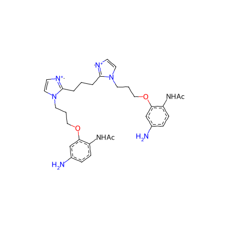 CC(=O)Nc1ccc(N)cc1OCCCN1C=C[N+]=C1CCCC1=[N+]C=CN1CCCOc1cc(N)ccc1NC(C)=O